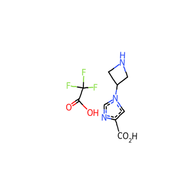 O=C(O)C(F)(F)F.O=C(O)c1cn(C2CNC2)cn1